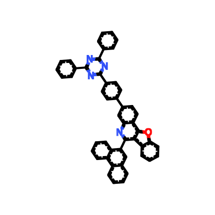 c1ccc(-c2nc(-c3ccccc3)nc(-c3ccc(-c4ccc5c(c4)nc(-c4cc6ccccc6c6ccccc46)c4c6ccccc6oc54)cc3)n2)cc1